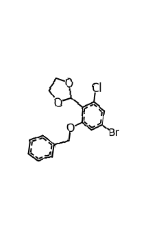 Clc1cc(Br)cc(OCc2ccccc2)c1C1OCCO1